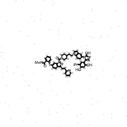 CNC(=O)c1ccccc1Sc1ccc2c(C=Cc3ccccn3)nn(C(=O)N3CCC(CCn4ccc5cc(-n6c(O)nnc6-c6cc(C(C)C)c(O)cc6O)ccc54)CC3)c2c1